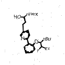 CCCCCCC(O)CCc1ccc(-c2ccccc2OC(CCCC)C(F)CC)nc1